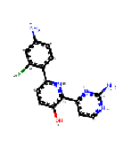 Nc1ccc(-c2ccc(O)c(-c3ccnc(N)n3)n2)c(F)c1